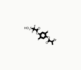 CC(Br)C(=O)Oc1cc(I)c(OC(=O)C(F)(F)S(=O)(=O)O)cc1I